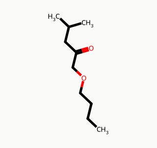 CCCCOCC(=O)CC(C)C